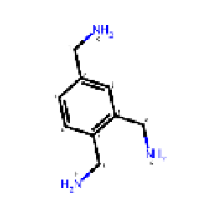 NCc1[c]c(CN)c(CN)cc1